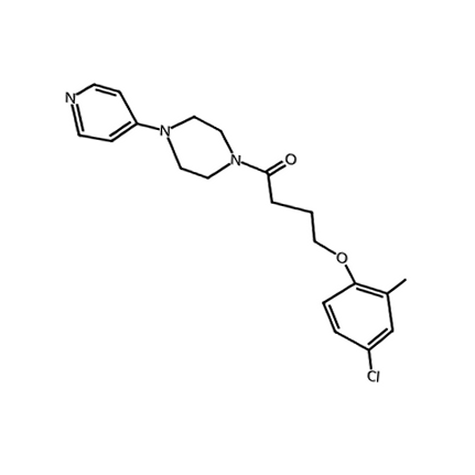 Cc1cc(Cl)ccc1OCCCC(=O)N1CCN(c2ccncc2)CC1